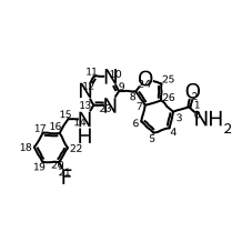 NC(=O)c1cccc2c(-c3ncnc(NCc4cccc(F)c4)n3)occ12